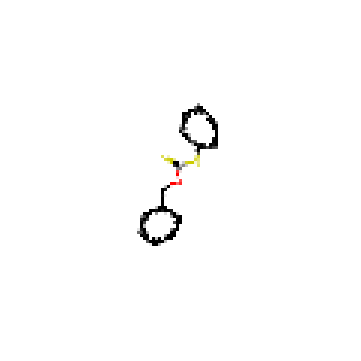 S=C(OCc1ccccc1)Sc1ccccc1